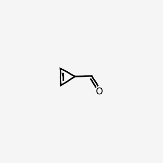 O=CC1C=C1